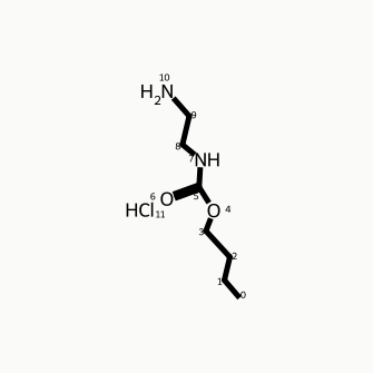 CCCCOC(=O)NCCN.Cl